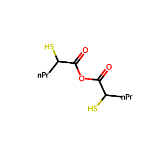 CCCC(S)C(=O)OC(=O)C(S)CCC